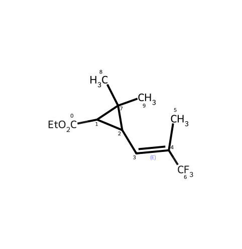 CCOC(=O)C1C(/C=C(\C)C(F)(F)F)C1(C)C